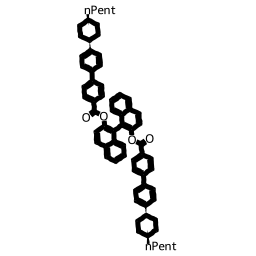 CCCCC[C@H]1CC[C@H](c2ccc(-c3ccc(C(=O)Oc4ccc5ccccc5c4-c4c(OC(=O)c5ccc(-c6ccc([C@H]7CC[C@H](CCCCC)CC7)cc6)cc5)ccc5ccccc45)cc3)cc2)CC1